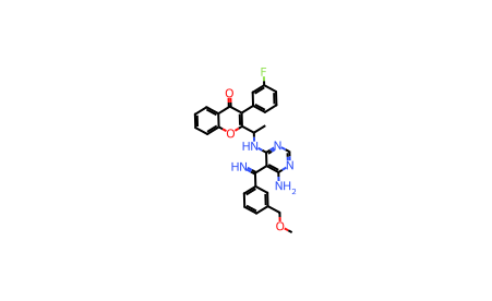 COCc1cccc(C(=N)c2c(N)ncnc2NC(C)c2oc3ccccc3c(=O)c2-c2cccc(F)c2)c1